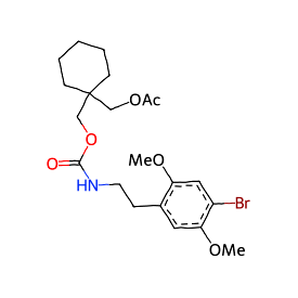 COc1cc(CCNC(=O)OCC2(COC(C)=O)CCCCC2)c(OC)cc1Br